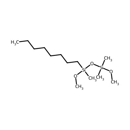 CCCCCCCC[Si](C)(OC)O[Si](C)(C)OC